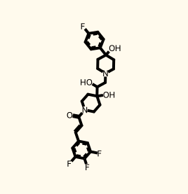 O=C(C=Cc1cc(F)c(F)c(F)c1)N1CCC(O)(C(O)CN2CCC(O)(c3ccc(F)cc3)CC2)CC1